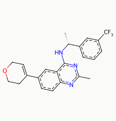 Cc1nc(N[C@H](C)c2cccc(C(F)(F)F)c2)c2cc(C3=CCOCC3)ccc2n1